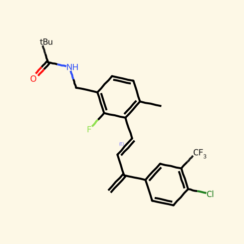 C=C(/C=C/c1c(C)ccc(CNC(=O)C(C)(C)C)c1F)c1ccc(Cl)c(C(F)(F)F)c1